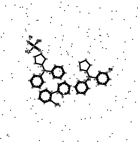 CS(=O)(=O)O.Nc1ccccc1-c1[c-]cccc1.[Fe].[Pd].c1ccc(P(c2ccccc2)C2CCCC2)cc1.c1ccc([PH+](c2ccccc2)C2CCCC2)cc1